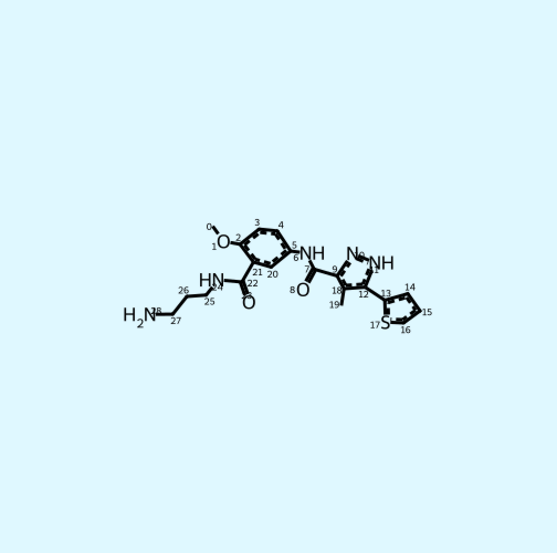 COc1ccc(NC(=O)c2n[nH]c(-c3cccs3)c2C)cc1C(=O)NCCCN